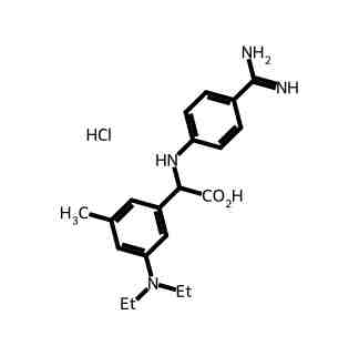 CCN(CC)c1cc(C)cc(C(Nc2ccc(C(=N)N)cc2)C(=O)O)c1.Cl